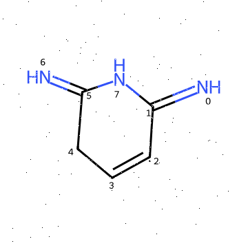 N=C1[C]=CCC(=N)N1